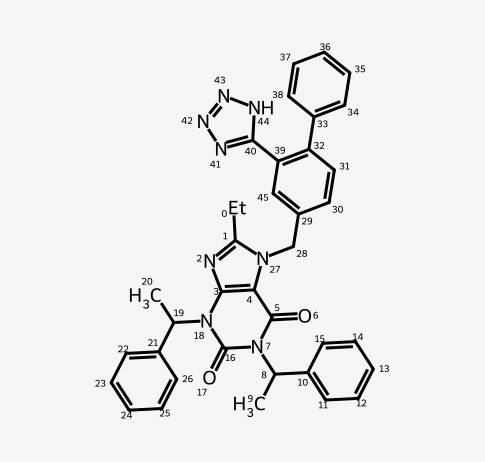 CCc1nc2c(c(=O)n(C(C)c3ccccc3)c(=O)n2C(C)c2ccccc2)n1Cc1ccc(-c2ccccc2)c(-c2nnn[nH]2)c1